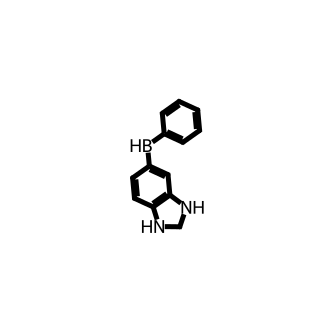 B(c1ccccc1)c1ccc2c(c1)NCN2